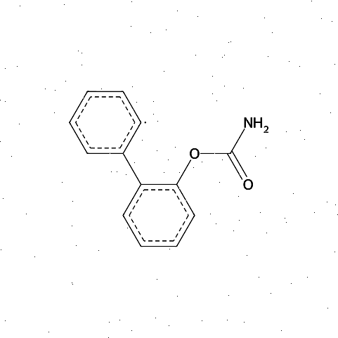 NC(=O)Oc1ccccc1-c1[c]cccc1